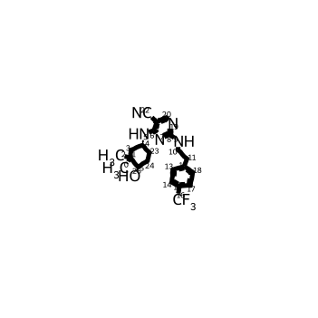 CC1(C)C[C@H](Nc2nc(NCCc3ccc(C(F)(F)F)cc3)ncc2C#N)CC[C@@H]1O